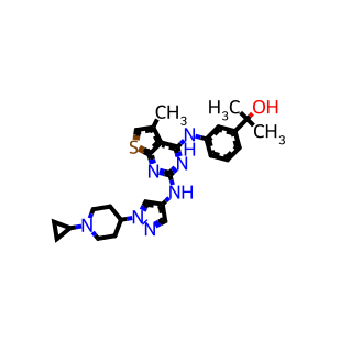 Cc1csc2nc(Nc3cnn(C4CCN(C5CC5)CC4)c3)nc(Nc3cccc(C(C)(C)O)c3)c12